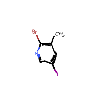 Cc1cc(I)cnc1Br